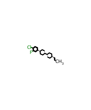 CC=C[C@H]1CC[C@H]([C@H]2CC[C@H](c3ccc(Cl)c(F)c3)CC2)CC1